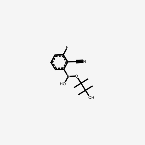 CC(C)(O)C(C)(C)OB(O)c1cccc(F)c1C#N